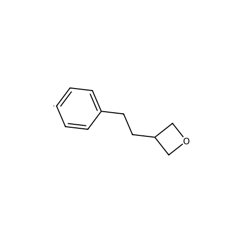 [c]1ccc(CCC2COC2)cc1